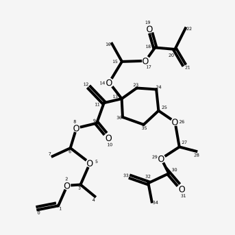 C=COC(C)OC(C)OC(=O)C(=C)C1(OC(C)OC(=O)C(=C)C)CCC(OC(C)OC(=O)C(=C)C)CC1